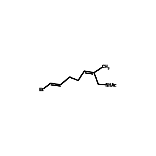 CCC=CCCC=C(C)CNC(C)=O